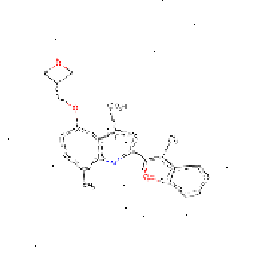 Cc1c(-c2cc(C(=O)O)c3c(OCC4COC4)ccc(C)c3n2)oc2ccccc12